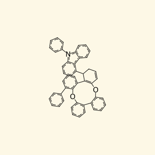 C1=CC2=C(c3cccc(-c4ccccc4)c3Oc3ccccc3-c3ccccc3O2)C(c2cccc3c2c2ccccc2n3-c2ccccc2)C1